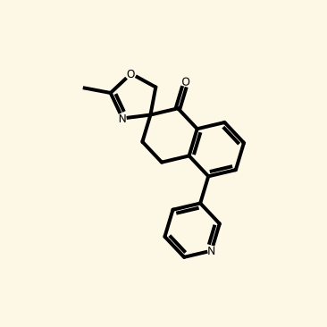 CC1=NC2(CCc3c(cccc3-c3cccnc3)C2=O)CO1